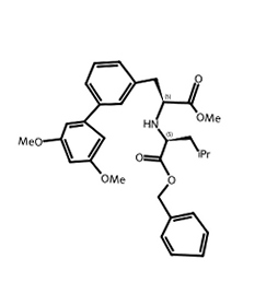 COC(=O)[C@H](Cc1cccc(-c2cc(OC)cc(OC)c2)c1)N[C@@H](CC(C)C)C(=O)OCc1ccccc1